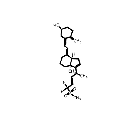 C=C1CCC(O)C/C1=C/C=C1\CCC[C@]2(C)C(C(C)/C=C/C(F)(F)S(C)(=O)=O)=CC[C@@H]12